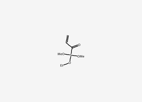 C=CC(=O)[Si](OC)(OC)OCC